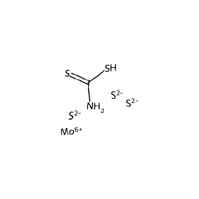 NC(=S)S.[Mo+6].[S-2].[S-2].[S-2]